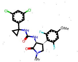 CCCN1C[C@@H](c2c(F)cc(OC)cc2F)[C@H](NC(=O)NC2(c3cc(Cl)cc(Cl)c3)CC2)C1=O